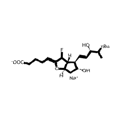 CCCCC(C)[C@@H](O)/C=C/[C@@H]1[C@H]2C(F)/C(=C/CCCC(=O)[O-])O[C@@H]2C[C@H]1O.[Na+]